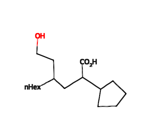 CCCCCCC(CCO)CC(C(=O)O)C1CCCC1